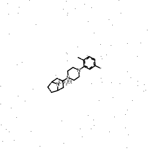 CCOC(=O)N1C2CCC1CC(N1CCN(c3cc(C)ccc3C)CC1)C2